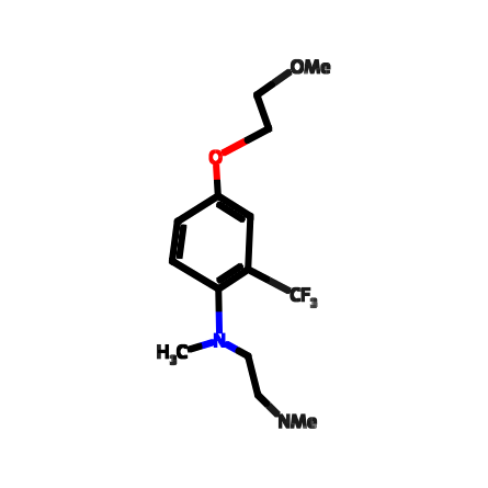 CNCCN(C)c1ccc(OCCOC)cc1C(F)(F)F